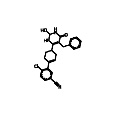 N#Cc1ccc(Cl)c(C2=CCC(C3=C(Cc4ccccc4)C(=O)NC(O)N3)CC2)c1